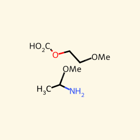 COC(C)N.COCCOC(=O)O